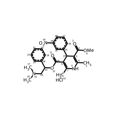 COC(=O)C1=C(C)NC(C)=C(C(=O)OC(CN(C)C)c2ccccc2)C1c1cccc([N+](=O)[O-])c1.Cl